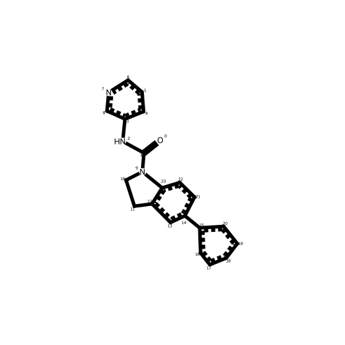 O=C(Nc1cccnc1)N1CCc2cc(-c3ccccc3)ccc21